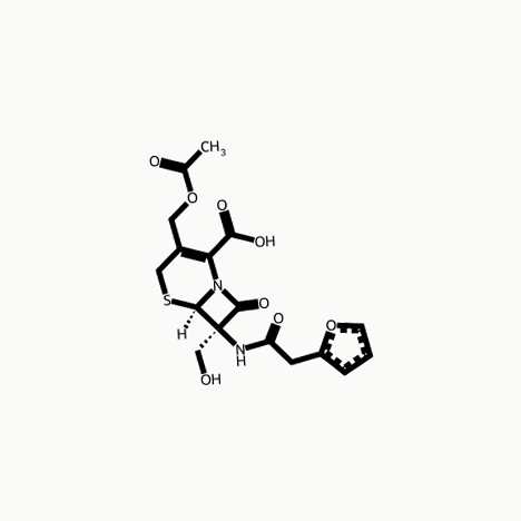 CC(=O)OCC1=C(C(=O)O)N2C(=O)[C@@](CO)(NC(=O)Cc3ccco3)[C@H]2SC1